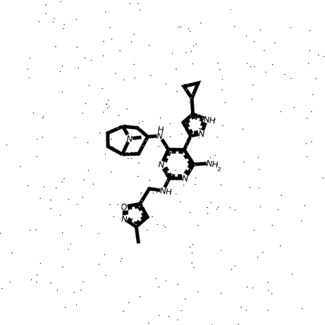 Cc1cc(CNc2nc(N)c(-c3cc(C4CC4)[nH]n3)c(NC3CC4CCC(C3)N4C)n2)on1